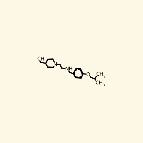 CCC1CCN(CCNCc2ccc(OCC(C)C)cc2)CC1